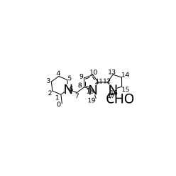 CC1CCCCN1Cc1ccc(C2CCCN2C=O)n1C